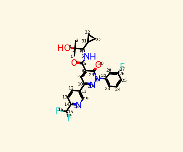 CC(C)(O)[C@@H](NC(=O)c1cc(-c2ccc(C(F)F)nc2)nn(-c2cccc(F)c2)c1=O)C1CC1